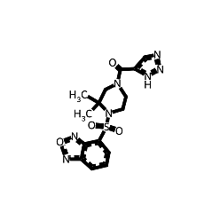 CC1(C)CN(C(=O)c2cnn[nH]2)CCN1S(=O)(=O)c1cccc2nonc12